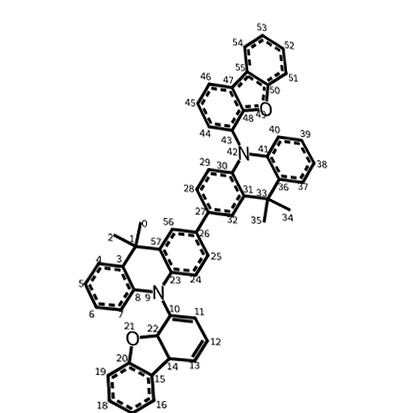 CC1(C)c2ccccc2N(C2=CC=CC3c4ccccc4OC23)c2ccc(-c3ccc4c(c3)C(C)(C)c3ccccc3N4c3cccc4c3oc3ccccc34)cc21